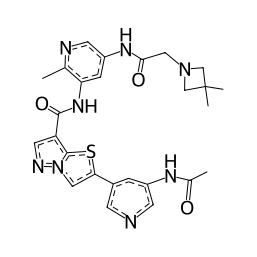 CC(=O)Nc1cncc(-c2cn3ncc(C(=O)Nc4cc(NC(=O)CN5CC(C)(C)C5)cnc4C)c3s2)c1